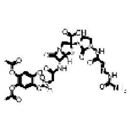 CC(=O)Oc1cc(Cl)c(OS(=O)(=O)CC(=O)N[C@@H]2C(=O)N3C[C@@](C(=O)O)(N4CCN(NC(=O)C=NNC(N)=O)C4=O)S[C@H]23)cc1OC(C)=O